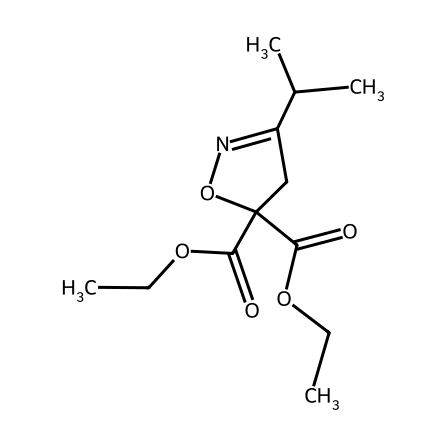 CCOC(=O)C1(C(=O)OCC)CC(C(C)C)=NO1